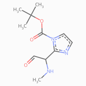 CNC(C=O)c1nccn1C(=O)OC(C)(C)C